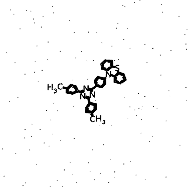 Cc1ccc(-c2nc(-c3ccc(C)cc3)nc(-c3ccc(N4c5ccccc5Sc5ccccc54)cc3)n2)cc1